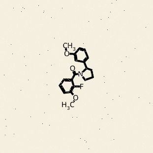 COc1cccc(C2CCCN2C(=O)c2cccc(OC)c2F)c1